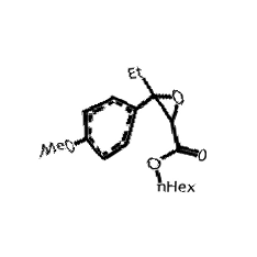 CCCCCCOC(=O)C1OC1(CC)c1ccc(OC)cc1